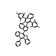 Cc1cc(C)c(-c2c3c(c(-c4c(C)cc(C)cc4C)c4ccccc24)-c2ccc(-c4c5ccccc5c(-c5ccccc5)c5c4sc4ccccc45)c4cccc-3c24)c(C)c1